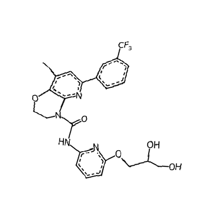 Cc1cc(-c2cccc(C(F)(F)F)c2)nc2c1OCCN2C(=O)Nc1cccc(OCC(O)CO)n1